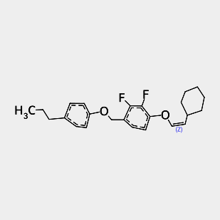 CCCc1ccc(OCc2ccc(O/C=C\C3CCCCC3)c(F)c2F)cc1